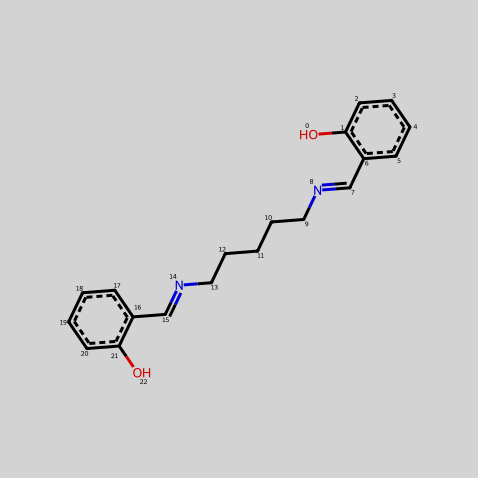 Oc1ccccc1C=NCCCCCN=Cc1ccccc1O